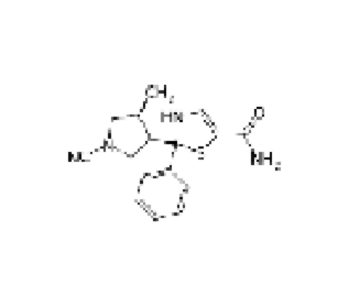 C[C@@H]1CN(C#N)C[C@@H]1C1(c2ccccc2)NC=C(C(N)=O)S1